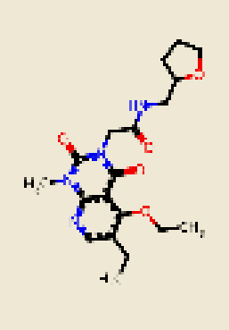 CCOc1c(CC)cnc2c1c(=O)n(CC(=O)NCC1CCCO1)c(=O)n2C